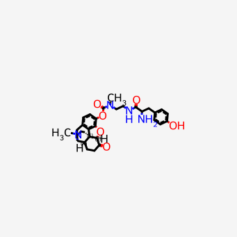 CN(CCNC(=O)C(N)Cc1ccc(O)cc1)C(=O)Oc1ccc2c3c1O[C@H]1C(=O)CC[C@H]4C(C2)N(C)CC[C@]314